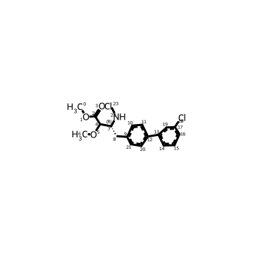 COC(=O)C(OC)[C@@H](Cc1ccc(-c2cccc(Cl)c2)cc1)NCl